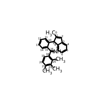 CC1=Cc2ccccc2C1c1ccccc1C(=N)c1ccc(C)c(C)c1C